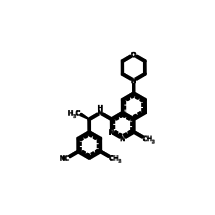 Cc1cc(C#N)cc([C@@H](C)Nc2nnc(C)c3ccc(N4CCOCC4)cc23)c1